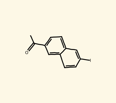 CC(=O)c1ccc2cc(I)ccc2c1